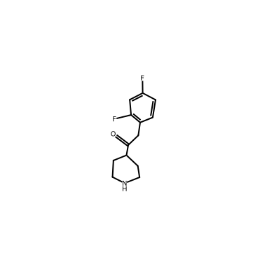 O=C(Cc1ccc(F)cc1F)C1CCNCC1